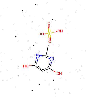 Cc1nc(O)cc(O)n1.O=S(=O)(O)O